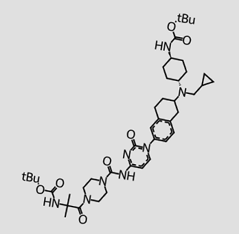 CC(C)(C)OC(=O)NC(C)(C)C(=O)N1CCN(C(=O)Nc2ccn(-c3ccc4c(c3)CCC(N(CC3CC3)[C@H]3CC[C@H](NC(=O)OC(C)(C)C)CC3)C4)c(=O)n2)CC1